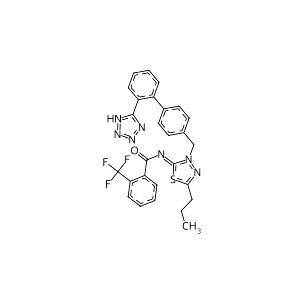 CCCc1nn(Cc2ccc(-c3ccccc3-c3nnn[nH]3)cc2)c(=NC(=O)c2ccccc2C(F)(F)F)s1